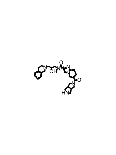 O=C(NC[C@@H](O)CN1CCc2ccccc2C1)c1cn2cc(C(=O)N3CC4CNCC4C3)ccc2n1